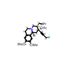 COc1cc2c(cc1OC)[C@H]1C[C@@](C#CCF)(OC(C)=O)[C@H](CC(C)C)CN1CC2